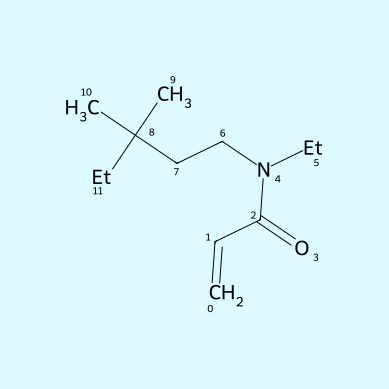 C=CC(=O)N(CC)CCC(C)(C)CC